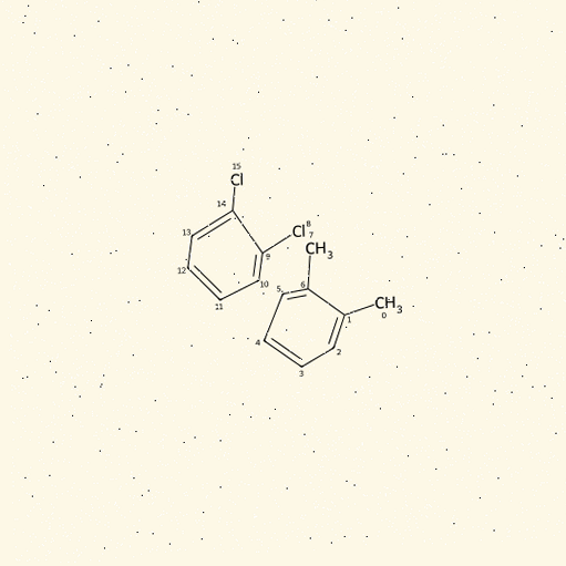 Cc1ccccc1C.Clc1ccccc1Cl